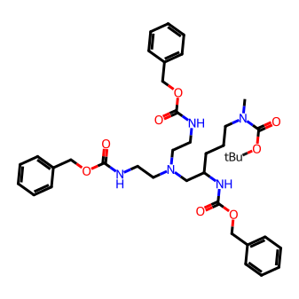 CN(CCCC(CN(CCNC(=O)OCc1ccccc1)CCNC(=O)OCc1ccccc1)NC(=O)OCc1ccccc1)C(=O)OC(C)(C)C